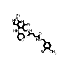 CCc1nc2c(cnn2CC)c(NC2CCOCC2)c1CNC(=O)CCC(=O)NCc1ccc(C)c(Br)c1